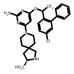 Nc1nc(OC(c2ccc(Cl)cc2-c2ccccc2)C(F)(F)F)cc(N2CCC3(CC2)CN[C@@H](C(=O)O)C3)n1